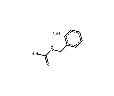 NC(=S)NCc1ccccc1.[NaH]